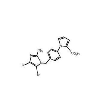 CCCCc1nc(Br)c(Br)n1Cc1ccc(-n2cccc2C(=O)O)cc1